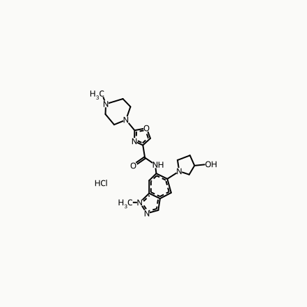 CN1CCN(c2nc(C(=O)Nc3cc4c(cnn4C)cc3N3CCC(O)C3)co2)CC1.Cl